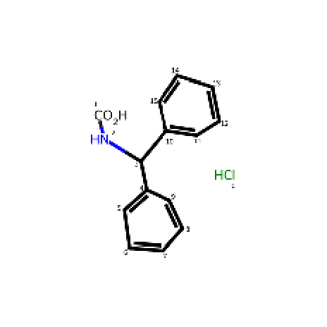 Cl.O=C(O)NC(c1ccccc1)c1ccccc1